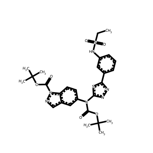 CCS(=O)(=O)Nc1cccc(-c2nnc(N(C(=O)OC(C)(C)C)c3ccc4c(cnn4C(=O)OC(C)(C)C)c3)s2)c1